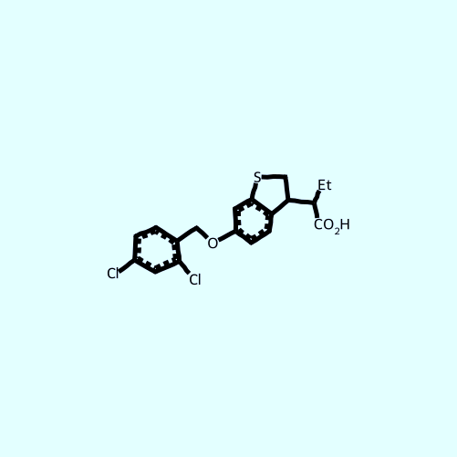 CCC(C(=O)O)C1CSc2cc(OCc3ccc(Cl)cc3Cl)ccc21